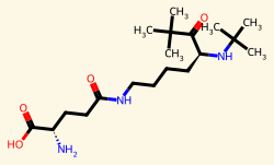 CC(C)(C)N[C@@H](CCCCNC(=O)CC[C@H](N)C(=O)O)C(=O)C(C)(C)C